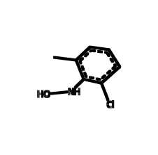 Cc1cccc(Cl)c1NO